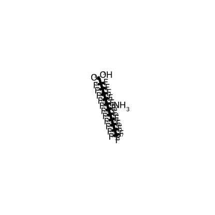 N.O=C(O)C(F)(F)C(F)(F)C(F)(F)C(F)(F)C(F)(F)C(F)(F)C(F)(F)C(F)(F)C(F)(F)C(F)(F)C(F)(F)F